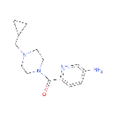 Nc1ccc(C(=O)N2CCN(CC3CC3)CC2)nc1